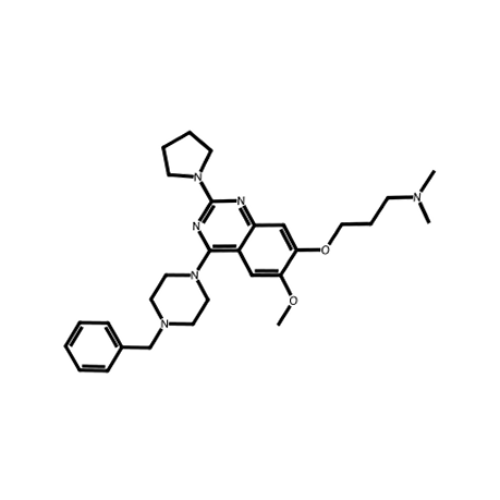 COc1cc2c(N3CCN(Cc4ccccc4)CC3)nc(N3CCCC3)nc2cc1OCCCN(C)C